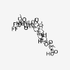 CCOC(=O)n1nc(C(F)(F)F)cc1C(=O)NC(C)(C)C(=O)N[C@@]12CC[C@]3(C)[C@H](CC[C@@H]4[C@@]5(C)CC[C@H](OC(=O)[C@H]6C[C@@H](C(=O)O)C6(C)C)C(C)(C)[C@@H]5CC[C@]43C)C1=C(C(C)C)C(=O)C2